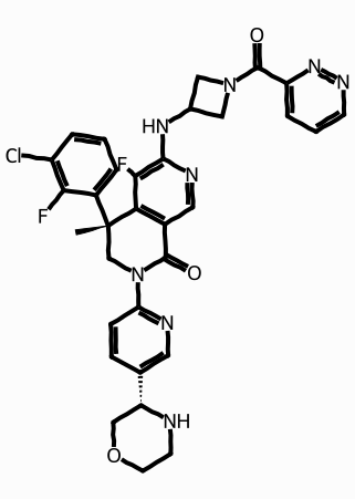 C[C@]1(c2cccc(Cl)c2F)CN(c2ccc([C@H]3COCCN3)cn2)C(=O)c2cnc(NC3CN(C(=O)c4cccnn4)C3)c(F)c21